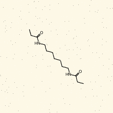 CCC(=O)NCCCCCCCNC(=O)CC